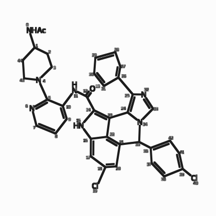 CC(=O)NC1CCN(c2ncccc2NC(=O)c2[nH]c3cc(Cl)cc4c3c2-c2c(-c3ccccc3)ncn2C4c2ccc(Cl)cc2)CC1